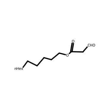 CCCCCCCCCCCOC(=O)CC=O